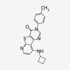 Cc1ccc(-n2cnc3c(sc4nccc(NC5CCC5)c43)c2=O)cc1